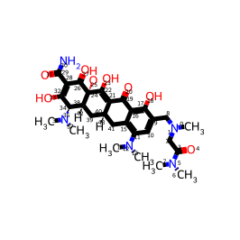 CN(CC(=O)N(C)C)Cc1cc(N(C)C)c2c(c1O)C(=O)C1=C(O)[C@]3(O)C(=O)C(C(N)=O)=C(O)[C@@H](N(C)C)[C@@H]3C[C@@H]1C2